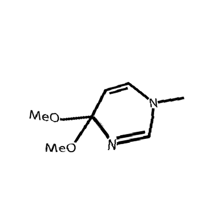 COC1(OC)C=CN(C)C=N1